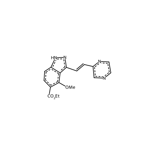 CCOC(=O)c1ccc2[nH]nc(C=Cc3cnccn3)c2c1OC